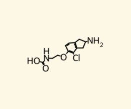 NC1Cc2ccc(OCCNC(=O)O)c(Cl)c2C1